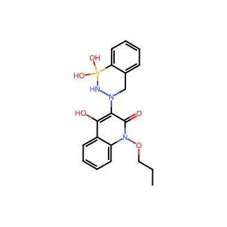 CCCOn1c(=O)c(N2Cc3ccccc3S(O)(O)N2)c(O)c2ccccc21